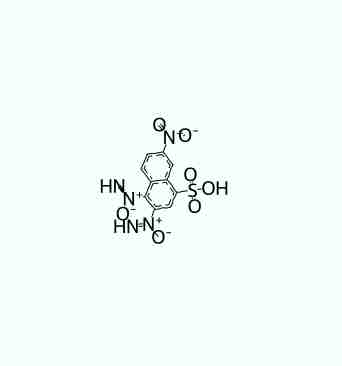 N=[N+]([O-])c1cc(S(=O)(=O)O)c2cc([N+](=O)[O-])ccc2c1[N+](=N)[O-]